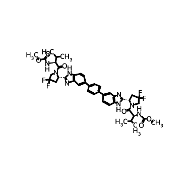 COC(=O)N[C@H](C(=O)N1CC(F)(F)C[C@H]1c1nc2cc(-c3ccc(-c4ccc5[nH]c([C@@H]6CC(F)(F)CN6C(=O)[C@@H](NC(=O)OC)C(C)C)nc5c4)cc3)ccc2[nH]1)C(C)C